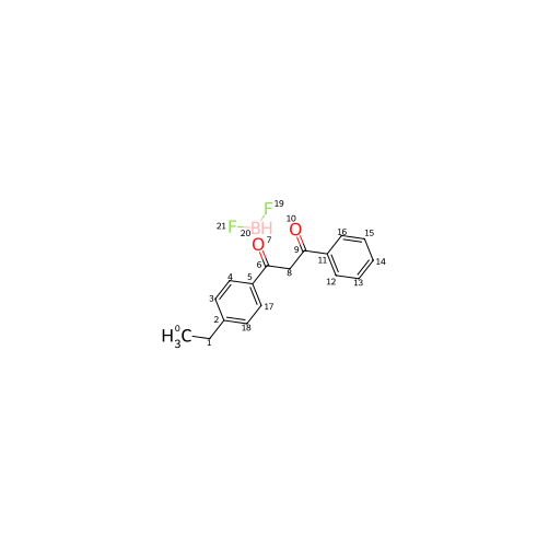 CCc1ccc(C(=O)CC(=O)c2ccccc2)cc1.FBF